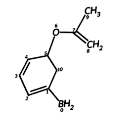 BC1=CC=CC(OC(=C)C)C1